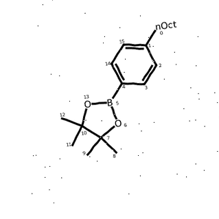 CCCCCCCCc1ccc(B2OC(C)(C)C(C)(C)O2)cc1